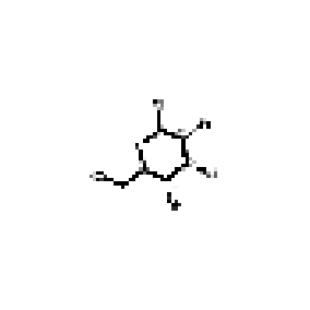 OCC1OC(O)[C@H](Br)[C@@H](O)[C@@H]1O